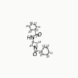 O=C(NC1CN(C(=O)c2ccccc2)C1)c1ccccc1